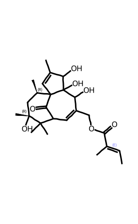 C/C=C(\C)C(=O)OCC1=CC2C(=O)C3(C=C(C)C(O)C3(O)C1O)[C@H](C)C[C@@](C)(O)C2(C)C